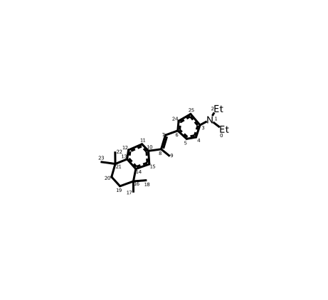 CCN(CC)c1ccc(C=C(C)c2ccc3c(c2)C(C)(C)CCC3(C)C)cc1